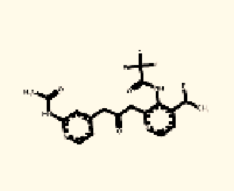 CC(=O)Nc1cc(CC(=O)Cc2nccc(C(C)F)c2NC(=O)C(F)(F)F)ccn1